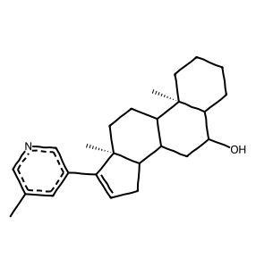 Cc1cncc(C2=CCC3C4CC(O)C5CCCC[C@]5(C)C4CC[C@]23C)c1